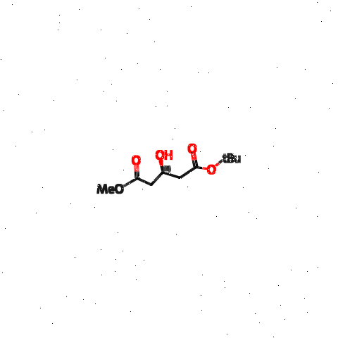 COC(=O)C[C@@H](O)CC(=O)OC(C)(C)C